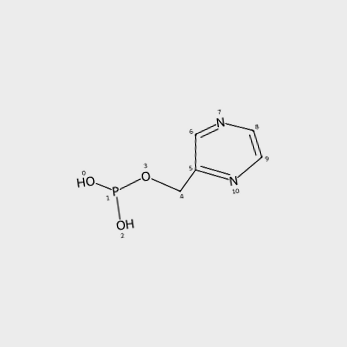 OP(O)OCc1cnccn1